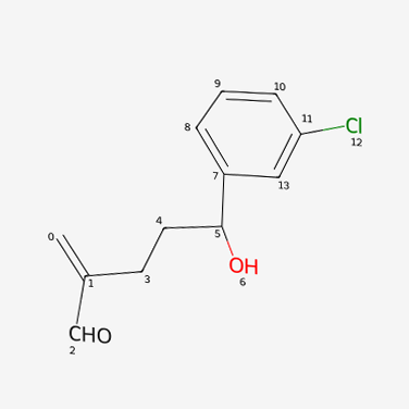 C=C(C=O)CCC(O)c1cccc(Cl)c1